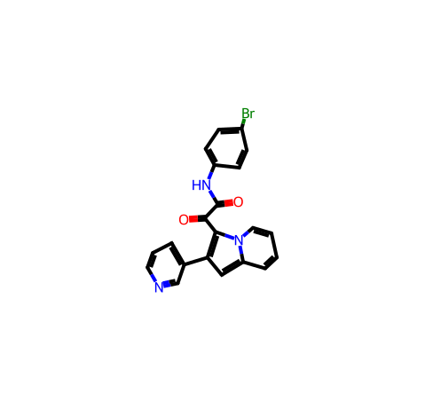 O=C(Nc1ccc(Br)cc1)C(=O)c1c(-c2cccnc2)cc2ccccn12